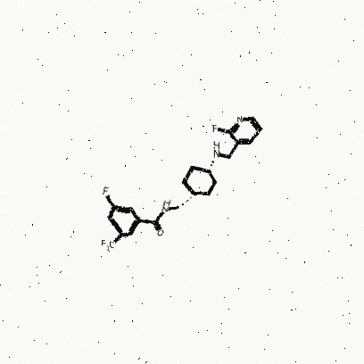 O=C(NC[C@H]1CC[C@@H](NCc2cccnc2F)CC1)c1cc(F)cc(C(F)(F)F)c1